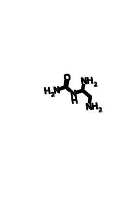 NCC(N)NC(N)=O